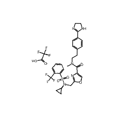 CN(CCc1ccc(C2=NCCN2)cc1)C(=O)c1coc(CN(C2CC2)S(=O)(=O)c2ccccc2C(F)(F)F)n1.O=C(O)C(F)(F)F